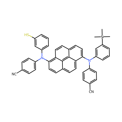 C[Si](C)(C)c1cccc(N(c2ccc(C#N)cc2)c2ccc3ccc4c(N(c5ccc(C#N)cc5)c5cccc(S)c5)ccc5ccc2c3c54)c1